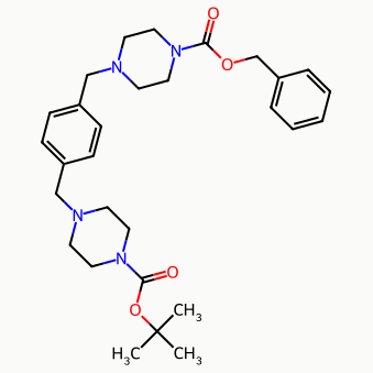 CC(C)(C)OC(=O)N1CCN(Cc2ccc(CN3CCN(C(=O)OCc4ccccc4)CC3)cc2)CC1